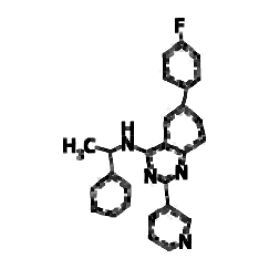 CC(Nc1nc(-c2cccnc2)nc2ccc(-c3ccc(F)cc3)cc12)c1ccccc1